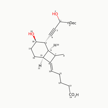 CCCCCCCCCCC(O)C#C[C@@H]1[C@H]2C(C)C(=CCCCC(=O)O)[C@H]2CC[C@H]1O